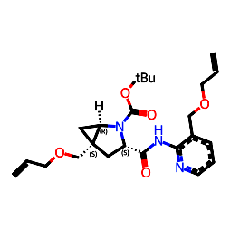 C=CCOCc1cccnc1NC(=O)[C@@H]1C[C@@]2(COCC=C)C[C@H]2N1C(=O)OC(C)(C)C